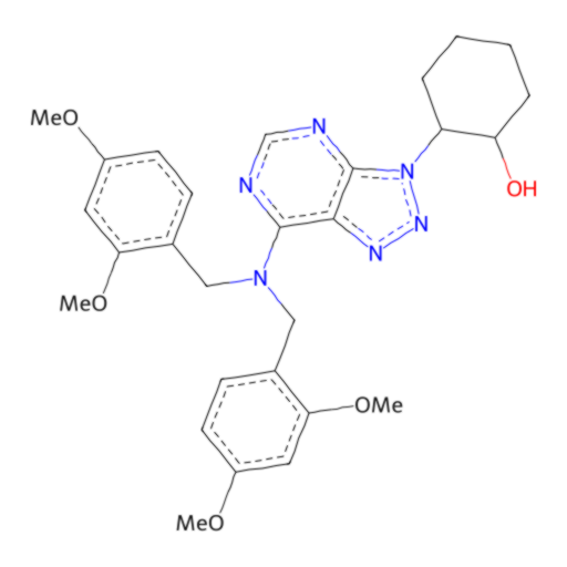 COc1ccc(CN(Cc2ccc(OC)cc2OC)c2ncnc3c2nnn3C2CCCCC2O)c(OC)c1